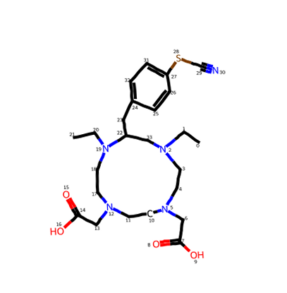 CCN1CCN(CC(=O)O)CCN(CC(=O)O)CCN(CC)C(Cc2ccc(SC#N)cc2)C1